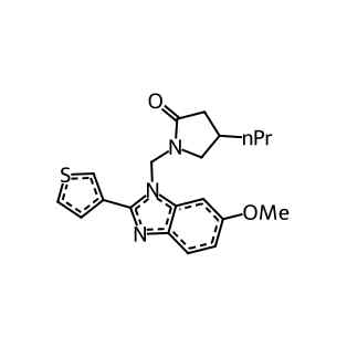 CCCC1CC(=O)N(Cn2c(-c3ccsc3)nc3ccc(OC)cc32)C1